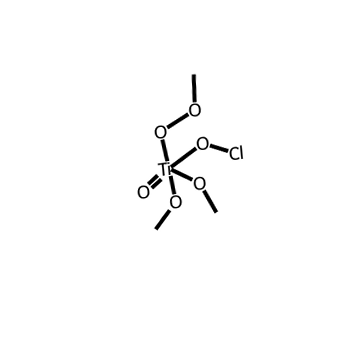 CO[O][Ti](=[O])([O]C)([O]C)[O]Cl